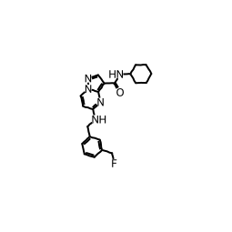 O=C(NC1CCCCC1)c1cnn2ccc(NCc3cccc(CF)c3)nc12